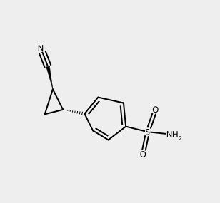 N#C[C@@H]1C[C@H]1c1ccc(S(N)(=O)=O)cc1